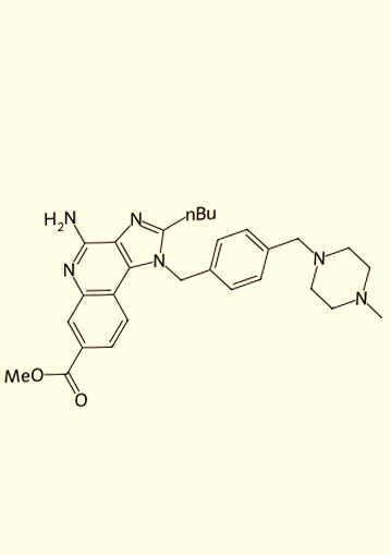 CCCCc1nc2c(N)nc3cc(C(=O)OC)ccc3c2n1Cc1ccc(CN2CCN(C)CC2)cc1